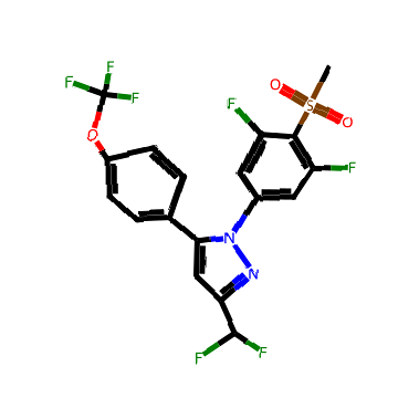 CS(=O)(=O)c1c(F)cc(-n2nc(C(F)F)cc2-c2ccc(OC(F)(F)F)cc2)cc1F